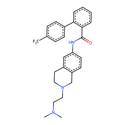 CN(C)CCN1CCc2cc(NC(=O)c3ccccc3-c3ccc(C(F)(F)F)cc3)ccc2C1